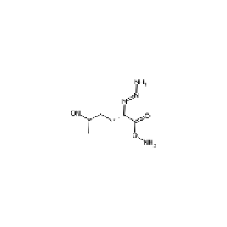 CC(CC[C@H](N=NN)C(=O)ON)N=O